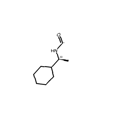 C[C@H](N[C]=O)C1CCCCC1